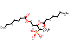 CCCCCCCCCCCCCCCC(=O)OCCC(OC(=O)CCCCCCCCCCCCCCC)C(C(=O)O)P(=O)(O)O